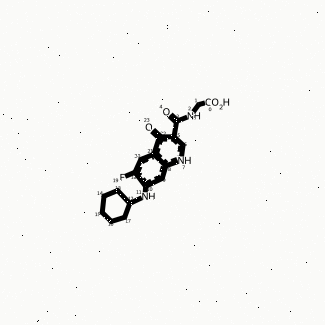 O=C(O)CNC(=O)c1c[nH]c2cc(NC3CCCCC3)c(F)cc2c1=O